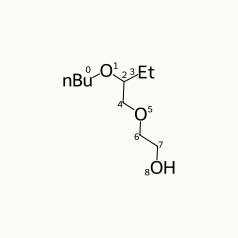 CCCCOC(CC)COCCO